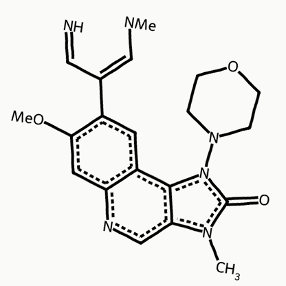 CN/C=C(\C=N)c1cc2c(cc1OC)ncc1c2n(N2CCOCC2)c(=O)n1C